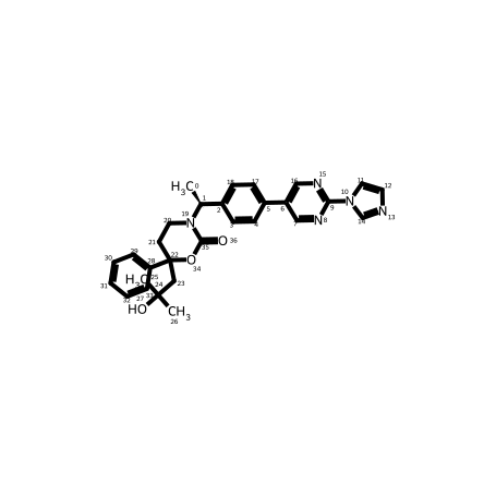 C[C@@H](c1ccc(-c2cnc(-n3ccnc3)nc2)cc1)N1CCC(CC(C)(C)O)(c2ccccc2)OC1=O